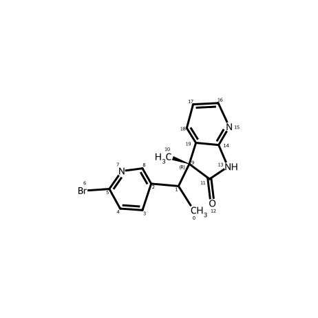 CC(c1ccc(Br)nc1)[C@@]1(C)C(=O)Nc2ncccc21